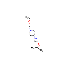 CCOCCN1CCC(N2CC(OC(C)C)C2)CC1